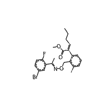 CCC/C=C(\C(=O)OC)c1cccc(C)c1CO/N=C(\C)c1cc(Br)ccc1F